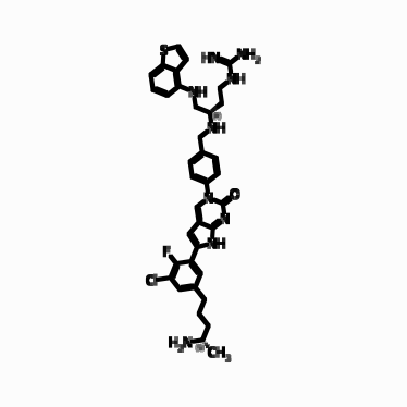 C[C@H](N)CCCc1cc(Cl)c(F)c(-c2cc3cn(-c4ccc(CN[C@H](CCNC(=N)N)CNc5cccc6sccc56)cc4)c(=O)nc3[nH]2)c1